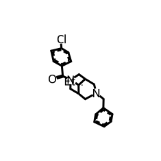 CC[C]1C2CN(Cc3ccccc3)CC1CN(C(=O)c1ccc(Cl)cc1)C2